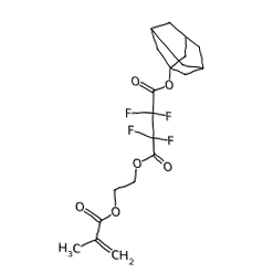 C=C(C)C(=O)OCCOC(=O)C(F)(F)C(F)(F)C(=O)OC12CC3CC(CC(C3)C1)C2